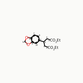 CCOC(=O)CC(CC(=O)OCC)c1ccc2c(c1)OCO2